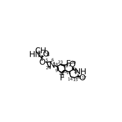 CNC(=O)OC1CN(c2cc(F)c(C3CCC(=O)NC3=O)c(F)c2)C1